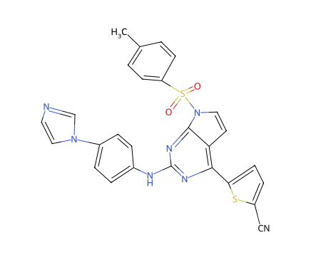 Cc1ccc(S(=O)(=O)n2ccc3c(-c4ccc(C#N)s4)nc(Nc4ccc(-n5ccnc5)cc4)nc32)cc1